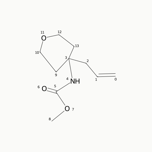 C=CCC1(NC(=O)OC)CCOCC1